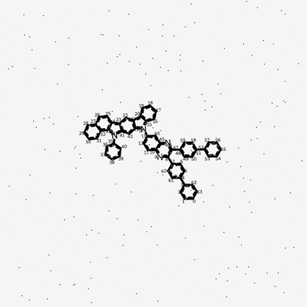 c1ccc(-c2ccc(-c3nc4ccc(-n5c6ccccc6c6cc7c8ccc9ccccc9c8n(-c8ccccc8)c7cc65)cc4nc3-c3ccc(-c4ccccc4)cc3)cc2)cc1